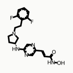 O=C(/C=C/c1cnc(N[C@@H]2CCN(CCc3c(F)cccc3F)C2)cn1)NO